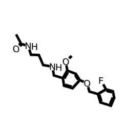 COc1cc(OCc2ccccc2F)ccc1CNCCCNC(C)=O